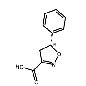 O=C(O)C1=NO[C@@H](c2ccccc2)C1